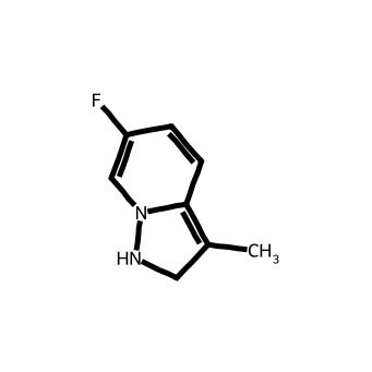 CC1=C2C=CC(F)=CN2NC1